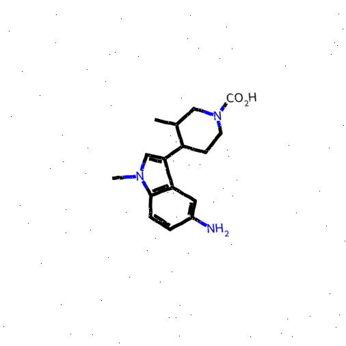 CC1CN(C(=O)O)CCC1c1cn(C)c2ccc(N)cc12